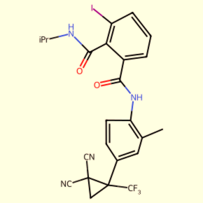 Cc1cc(C2(C(F)(F)F)CC2(C#N)C#N)ccc1NC(=O)c1cccc(I)c1C(=O)NC(C)C